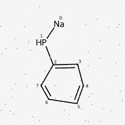 [Na][PH]c1ccccc1